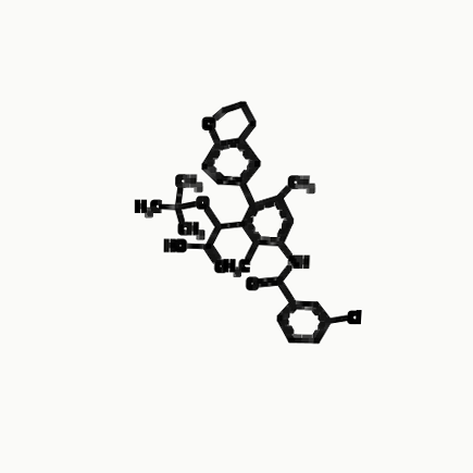 Cc1cc(NC(=O)c2cccc(Cl)c2)c(C)c(C(OC(C)(C)C)C(=O)O)c1-c1ccc2c(c1)CCCO2